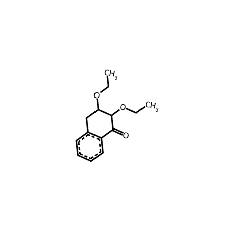 CCOC1Cc2ccccc2C(=O)C1OCC